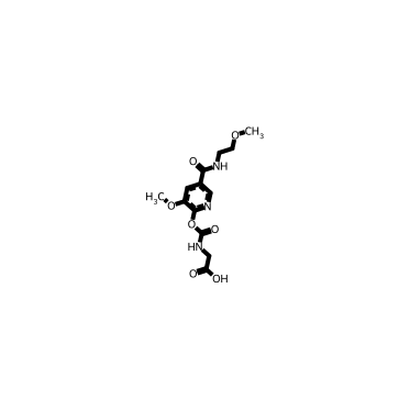 COCCNC(=O)c1cnc(OC(=O)NCC(=O)O)c(OC)c1